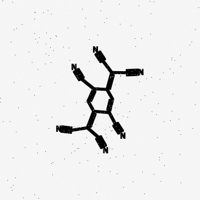 N#CC(C#N)=c1cc(C#N)c(=C(C#N)C#N)cc1C#N